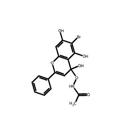 CC(=O)NOC1(O)C=C(c2ccccc2)Oc2cc(O)c(Br)c(O)c21